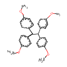 BOc1ccc(C(c2ccc(OB)cc2)C(c2ccc(OB)cc2)c2ccc(OB)cc2)cc1